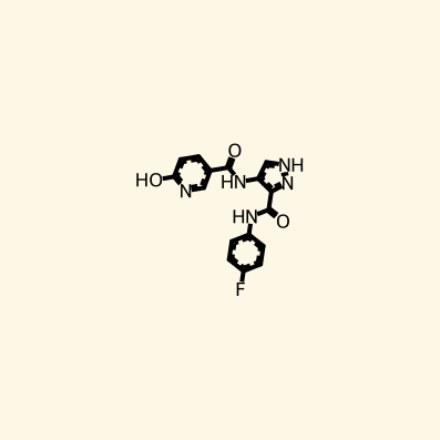 O=C(Nc1c[nH]nc1C(=O)Nc1ccc(F)cc1)c1ccc(O)nc1